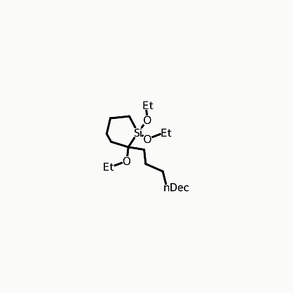 CCCCCCCCCCCCCC1(OCC)CCCC[Si]1(OCC)OCC